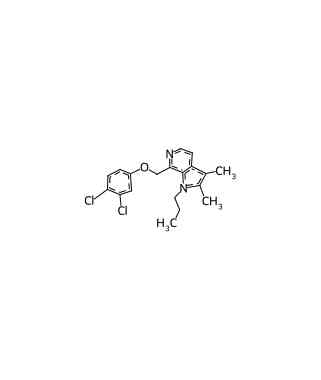 CCCn1c(C)c(C)c2ccnc(COc3ccc(Cl)c(Cl)c3)c21